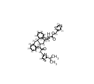 CC(C)c1nc(CC(=O)NC(CC(O)CNC(=O)OCc2cncs2)C(Cc2ccccc2)c2ccccc2)cs1